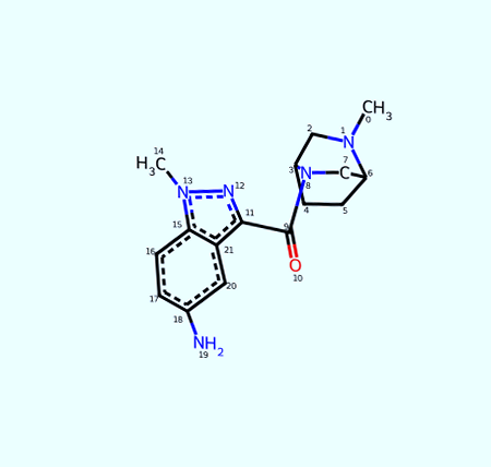 CN1CC2CCC1CN2C(=O)c1nn(C)c2ccc(N)cc12